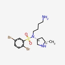 C[C@H]1C[C@@H](N(CCCCN)S(=O)(=O)c2cc(Br)ccc2Br)CN1